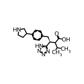 CC(C)C(C(=O)O)[C@H](Cc1ccc(C2CCNC2)cc1)c1nnn[nH]1